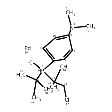 CN(C)c1ccc([PH](Cl)(C(C)(C)C)C(C)(C)CCl)cc1.[Pd]